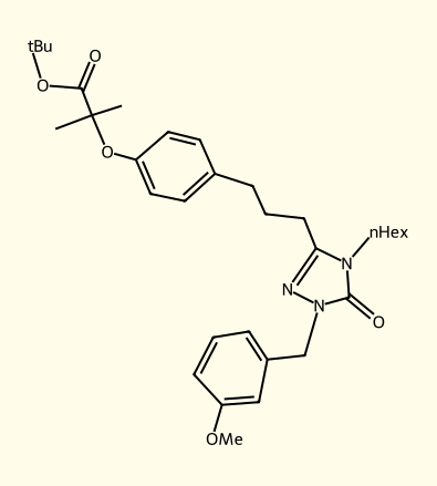 CCCCCCn1c(CCCc2ccc(OC(C)(C)C(=O)OC(C)(C)C)cc2)nn(Cc2cccc(OC)c2)c1=O